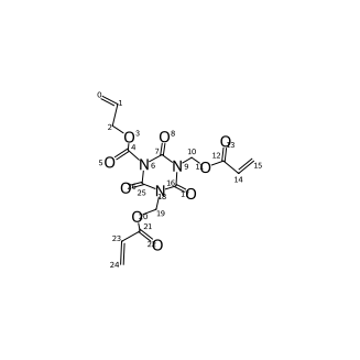 C=CCOC(=O)n1c(=O)n(COC(=O)C=C)c(=O)n(COC(=O)C=C)c1=O